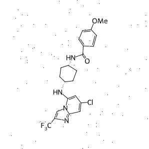 COc1ccc(C(=O)N[C@H]2CC[C@@H](Nc3cc(Cl)cc4nc(C(F)(F)F)cn34)CC2)cc1